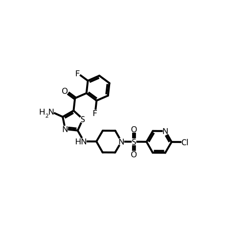 Nc1nc(NC2CCN(S(=O)(=O)c3ccc(Cl)nc3)CC2)sc1C(=O)c1c(F)cccc1F